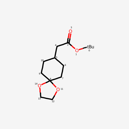 CC(C)(C)OC(=O)CC1CCC2(CC1)OCCO2